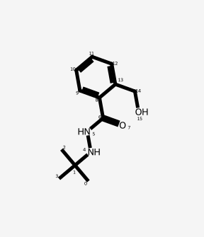 CC(C)(C)NNC(=O)c1ccccc1CO